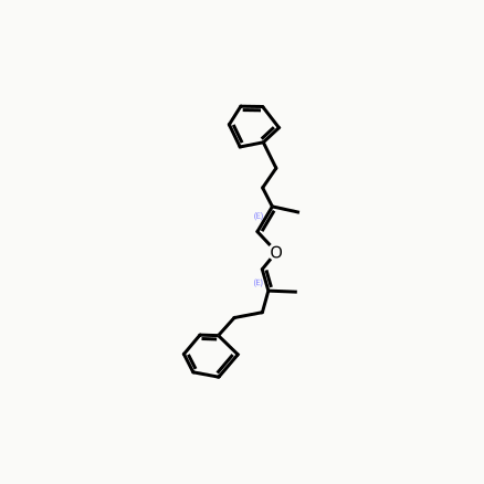 C/C(=C\O/C=C(\C)CCc1ccccc1)CCc1ccccc1